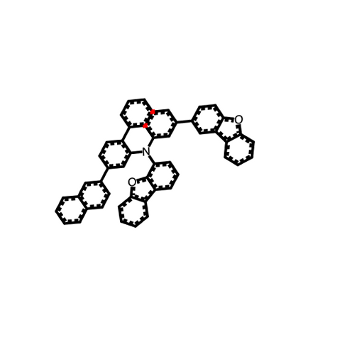 c1ccc(-c2ccc(-c3ccc4ccccc4c3)cc2N(c2cccc(-c3ccc4oc5ccccc5c4c3)c2)c2cccc3c2oc2ccccc23)cc1